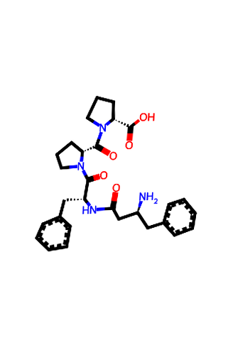 N[C@H](CC(=O)N[C@H](Cc1ccccc1)C(=O)N1CCC[C@@H]1C(=O)N1CCC[C@@H]1C(=O)O)Cc1ccccc1